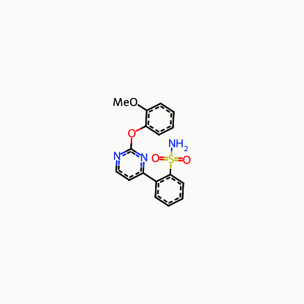 COc1ccccc1Oc1nccc(-c2ccccc2S(N)(=O)=O)n1